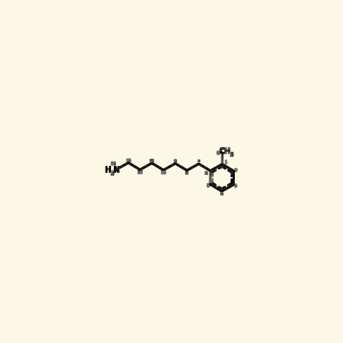 Cc1ccccc1CCCCCCCN